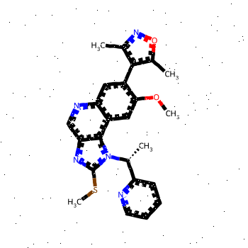 COc1cc2c(cc1-c1c(C)noc1C)ncc1nc(SC)n([C@H](C)c3ccccn3)c12